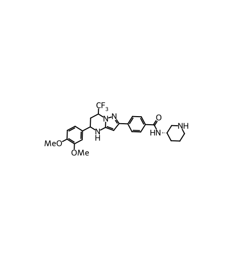 COc1ccc(C2CC(C(F)(F)F)n3nc(-c4ccc(C(=O)N[C@H]5CCCNC5)cc4)cc3N2)cc1OC